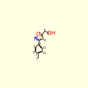 Cc1ccc(C2=NOC(CO)C2)cc1